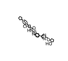 C[C@H]1CN(C2CCCC2)CCN1C1CC(C(=O)Nc2nc3ccc(-c4cnc(CO[C@H]5CCC[C@@H]5O)nc4)cc3s2)C1